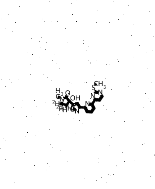 [2H]C1([2H])N(C)C(=O)[C@](O)(c2cc(-c3cccc(-c4ccnc(SC)n4)n3)no2)C1([2H])[2H]